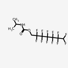 CC(C)NC(=O)OCC(F)(F)C(F)(F)C(F)(F)C(F)(F)C(F)(F)C(F)F